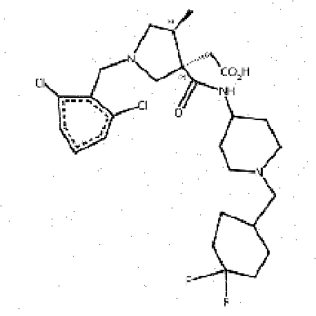 C[C@@H]1CN(Cc2c(Cl)cccc2Cl)C[C@]1(CC(=O)O)C(=O)NC1CCN(CC2CCC(F)(F)CC2)CC1